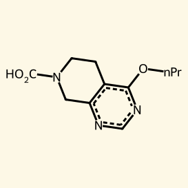 CCCOc1ncnc2c1CCN(C(=O)O)C2